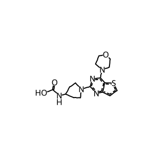 O=C(O)NC1CCN(c2nc(N3CCOCC3)c3sccc3n2)CC1